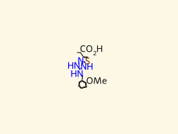 COc1ccccc1CNC(=N)Nc1nc(C(C)C(=O)O)cs1